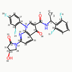 O=C(NC(c1c(F)cccc1F)C(F)(F)F)c1cn(-c2ccc(F)cc2F)c2nc(N3C[C@@H](O)CC3=O)ccc2c1=O